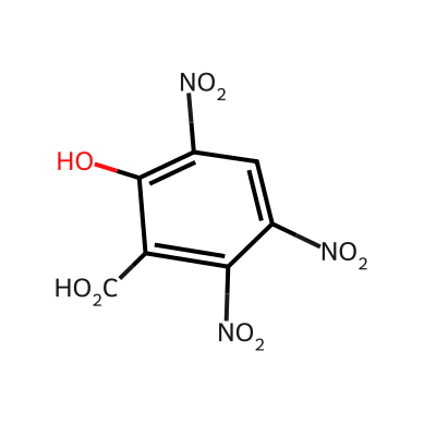 O=C(O)c1c(O)c([N+](=O)[O-])cc([N+](=O)[O-])c1[N+](=O)[O-]